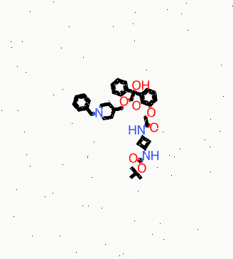 CC(C)(C)OC(=O)N[C@H]1C[C@H](NC(=O)COc2cccc(C(O)(C(=O)OCC3CCN(Cc4ccccc4)CC3)c3ccccc3)c2)C1